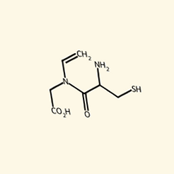 C=CN(CC(=O)O)C(=O)C(N)CS